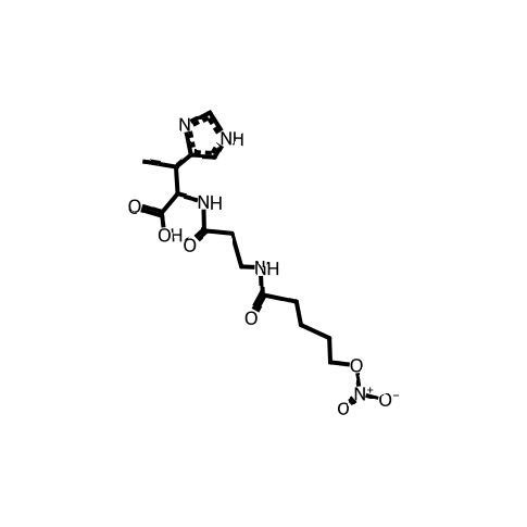 CC(c1c[nH]cn1)C(NC(=O)CCNC(=O)CCCCO[N+](=O)[O-])C(=O)O